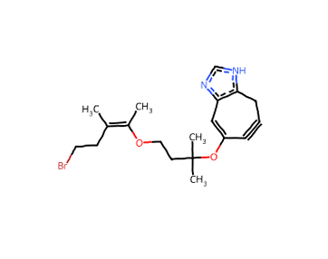 C/C(CCBr)=C(\C)OCCC(C)(C)OC1=Cc2nc[nH]c2CC#C1